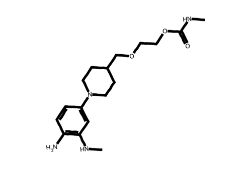 CNC(=O)OCCOCC1CCN(c2ccc(N)c(NC)c2)CC1